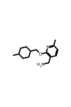 Cc1ccc(CN)c(OCC2CCC(C)CC2)n1